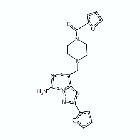 Nc1ncc(CN2CCN(C(=O)c3ccco3)CC2)c2nc(-c3ccco3)nn12